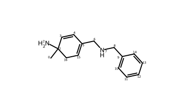 CC1(N)C=CC(CNCc2ccccc2)=CC1